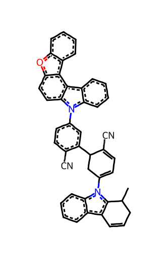 CC1CC=Cc2c1n(C1=CC=C(C#N)C(c3cc(-n4c5ccccc5c5c6c(ccc54)oc4ccccc46)ccc3C#N)C1)c1ccccc21